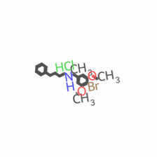 CCOc1cc(C(C)NCCCCc2ccccc2)cc(OCC)c1Br.Cl